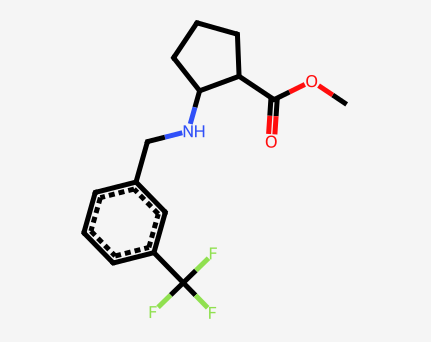 COC(=O)C1CCCC1NCc1cccc(C(F)(F)F)c1